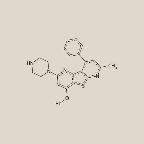 CCOc1nc(N2CCNCC2)nc2c1sc1nc(C)cc(-c3ccccc3)c12